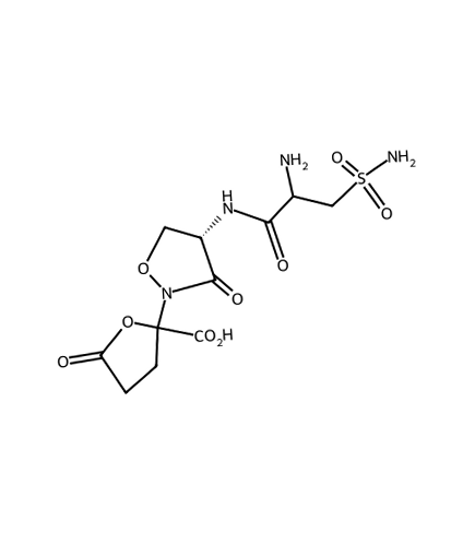 NC(CS(N)(=O)=O)C(=O)N[C@H]1CON(C2(C(=O)O)CCC(=O)O2)C1=O